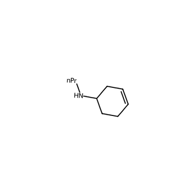 CCCNC1CC=CCC1